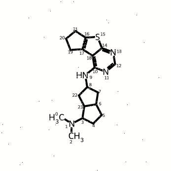 CN(C)C1CCC2CC(Nc3ncnc4sc5c(c34)CCC5)CC21